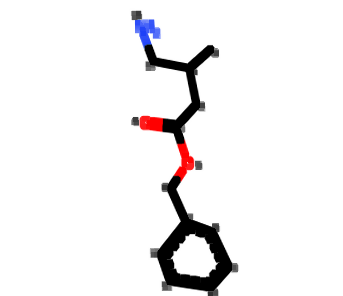 CC([CH]C(=O)OCc1ccccc1)CN